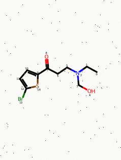 CCN(CO)CCC(=O)c1ccc(Br)s1